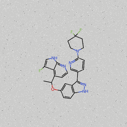 CC(Oc1ccc2[nH]nc(-c3ccc(N4CCC(F)(F)CC4)nc3)c2c1)c1ccnc2[nH]cc(F)c12